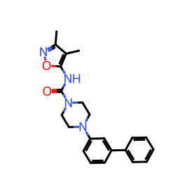 Cc1noc(NC(=O)N2CCN(c3cccc(-c4ccccc4)c3)CC2)c1C